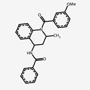 COc1cccc(C(=O)N2c3ccccc3C(NC(=O)c3ccccc3)CC2C)c1